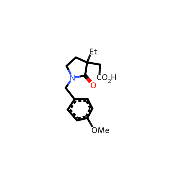 CCC1(CC(=O)O)CCN(Cc2ccc(OC)cc2)C1=O